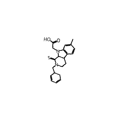 Cc1ccc2c(c1)N(CC(=O)O)C1C(=S)N(CC3C=CC=CC3)CCC21